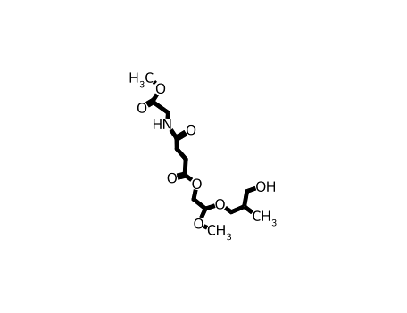 COC(=O)CNC(=O)CCC(=O)OCC(OC)OCC(C)CO